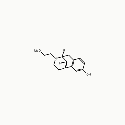 COCCN1CC[C@]23CCCC[C@H]2[C@H]1Cc1ccc(O)cc13